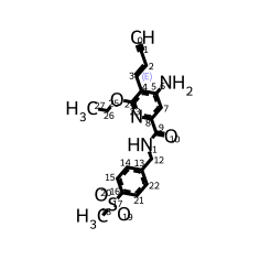 C#C/C=C/c1c(N)cc(C(=O)NCc2ccc(S(C)(=O)=O)cc2)nc1OCC